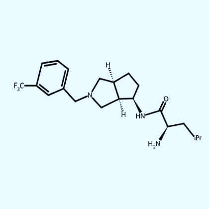 CC(C)C[C@@H](N)C(=O)N[C@@H]1CC[C@@H]2CN(Cc3cccc(C(F)(F)F)c3)C[C@@H]21